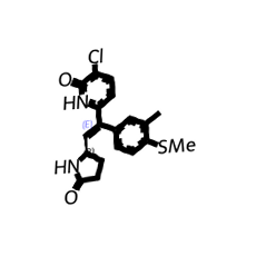 CSc1ccc(/C(=C\[C@H]2CCC(=O)N2)c2ccc(Cl)c(=O)[nH]2)cc1C